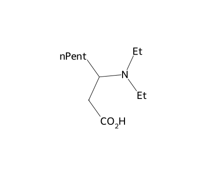 CCCCCC(CC(=O)O)N(CC)CC